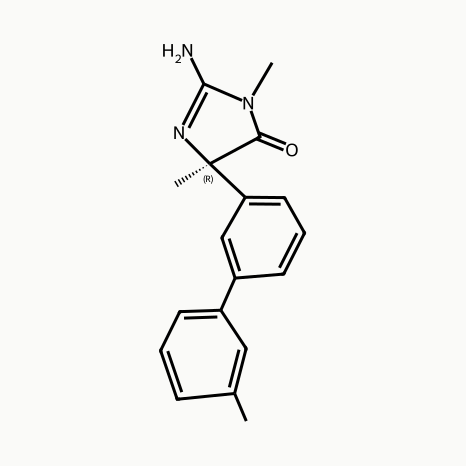 Cc1cccc(-c2cccc([C@@]3(C)N=C(N)N(C)C3=O)c2)c1